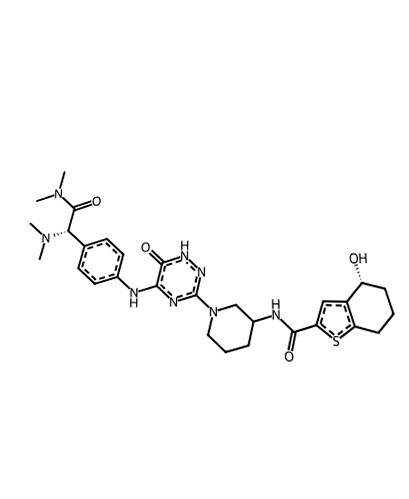 CN(C)C(=O)[C@H](c1ccc(Nc2nc(N3CCCC(NC(=O)c4cc5c(s4)CCC[C@H]5O)C3)n[nH]c2=O)cc1)N(C)C